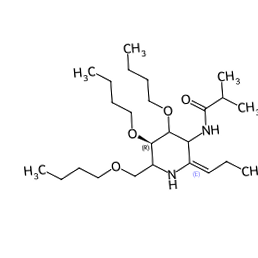 CC/C=C1/NC(COCCCC)[C@@H](OCCCC)C(OCCCC)C1NC(=O)C(C)C